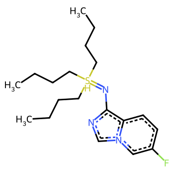 CCCC[SH](CCCC)(CCCC)=Nc1ncn2cc(F)ccc12